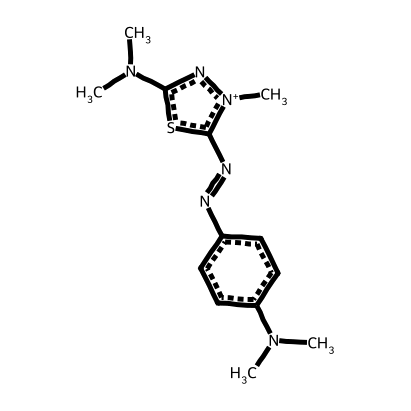 CN(C)c1ccc(N=Nc2sc(N(C)C)n[n+]2C)cc1